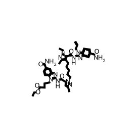 C=CCn1c(NC(=O)c2c(CCCCCn3nc(C)cc3C(=O)Nc3nc4cc(C(N)=O)ccc4n3CCCC(=O)OCC)c(C)nn2CC)nc2cc(C(N)=O)ccc21